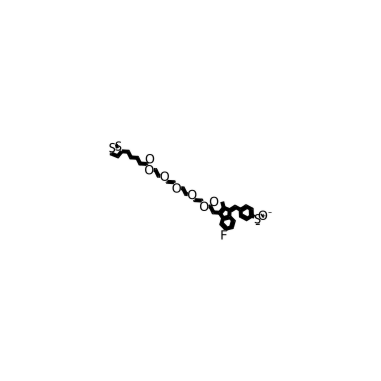 CC1=C(CC(=O)OCCOCCOCCOCCOC(=O)CCCCC2CCSS2)c2cc(F)ccc2/C1=C\c1ccc([S+](C)[O-])cc1